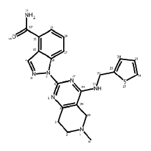 CN1CCc2nc(-n3ncc4c(C(N)=O)cccc43)nc(NCc3cccs3)c2C1